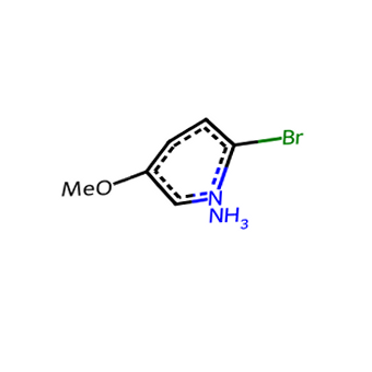 COc1ccc(Br)nc1.N